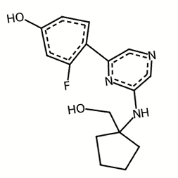 OCC1(Nc2cncc(-c3ccc(O)cc3F)n2)CCCC1